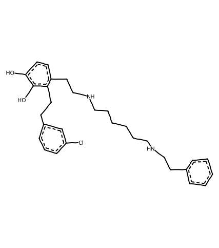 Oc1ccc(CCNCCCCCCNCCc2ccccc2)c(CCc2cccc(Cl)c2)c1O